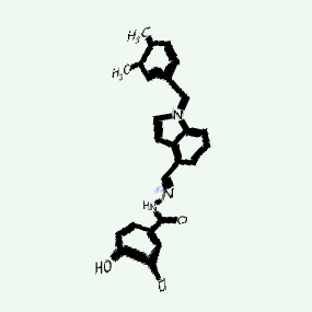 Cc1ccc(Cn2ccc3c(/C=N/NC(=O)c4ccc(O)c(Cl)c4)cccc32)cc1C